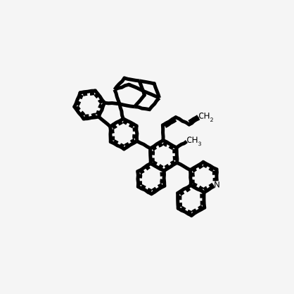 C=C/C=C\c1c(C)c(-c2ccnc3ccccc23)c2ccccc2c1-c1ccc2c(c1)C1(c3ccccc3-2)C2CC3CC(C2)CC1C3